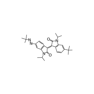 CC(C)N1C(=O)/C(=C2/C(=O)N(C(C)C)c3cc(C(C)(C)C)ccc32)c2ccc(/N=N/C(C)(C)C)cc21